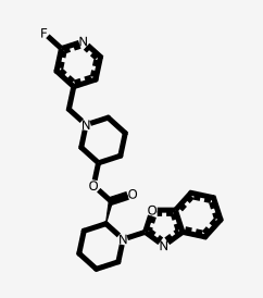 O=C(OC1CCCN(Cc2ccnc(F)c2)C1)[C@@H]1CCCCN1c1nc2ccccc2o1